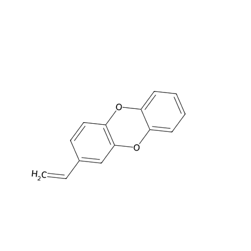 C=Cc1ccc2c(c1)Oc1ccccc1O2